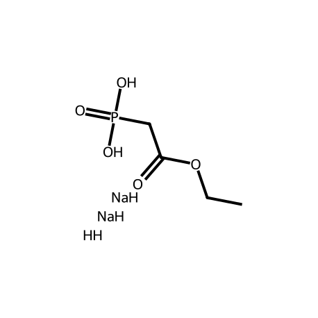 CCOC(=O)CP(=O)(O)O.[HH].[NaH].[NaH]